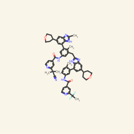 Cc1nc2cc(C3CCOCC3)cc(-c3cc(NC(=O)c4ccnc(C(C)(C)C#N)c4)cc(Cc4nc5cc(C6CCOCC6)cc(-c6cc(NC(=O)c7ccnc(C(C)(F)F)c7)ccc6C)c5[nH]4)c3C)c2[nH]1